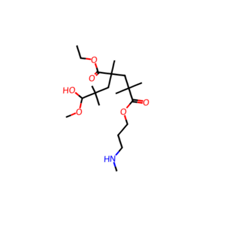 CCOC(=O)C(C)(CC(C)(C)C(=O)OCCCNC)CC(C)(C)C(O)OC